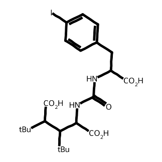 CC(C)(C)C(C(=O)O)C(C(NC(=O)NC(Cc1ccc(I)cc1)C(=O)O)C(=O)O)C(C)(C)C